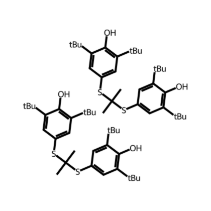 CC(C)(Sc1cc(C(C)(C)C)c(O)c(C(C)(C)C)c1)Sc1cc(C(C)(C)C)c(O)c(C(C)(C)C)c1.CC(C)(Sc1cc(C(C)(C)C)c(O)c(C(C)(C)C)c1)Sc1cc(C(C)(C)C)c(O)c(C(C)(C)C)c1